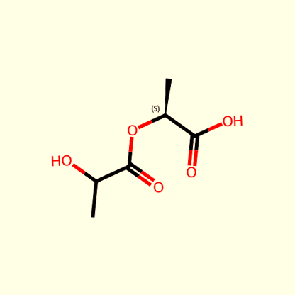 CC(O)C(=O)O[C@@H](C)C(=O)O